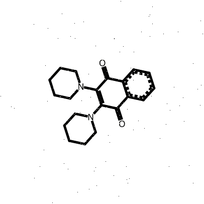 O=C1C(N2CCCCC2)=C(N2CCCCC2)C(=O)c2ccccc21